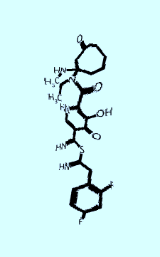 CCN(C(=O)c1[nH]cc(C(=N)SC(=N)Cc2ccc(F)cc2F)c(=O)c1O)C1(NC)CCCCC(=O)C1